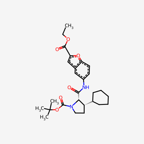 CCOC(=O)c1cc2cc(NC(=O)[C@@H]3[C@H](C4CCCCC4)CCN3C(=O)OC(C)(C)C)ccc2o1